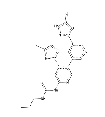 CCCNC(=O)Nc1cc(-c2nc(C)cs2)c(-c2cncc(-c3n[nH]c(=O)o3)c2)cn1